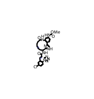 COC(=O)Nc1ccc2c(c1)NC(=O)CC/C=C\C[C@H](NC(=O)/C=C/c1cc(Cl)ccc1-n1cnnn1)c1nc-2c[nH]1